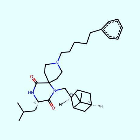 CC(C)C[C@@H]1NC(=O)C2(CCN(CCCCCc3ccccc3)CC2)N(C[C@H]2CC[C@H]3CC2C3(C)C)C1=O